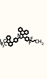 C=CCC(F)(F)c1ccc(C2CC(c3ccc(-c4cccc5c4-c4ccccc4C5(C)C)cc3)=Nc3c2c2ccccc2c2ccccc32)cc1